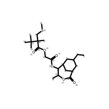 CCC1CC2CC(C1)C(OC(=O)COC(=O)C(C)(CSC)C(C)(C)C)C(C)OC2=O